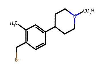 Cc1cc(C2CCN(C(=O)O)CC2)ccc1CBr